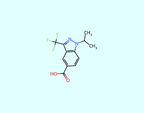 CC(C)n1nc(C(F)(F)F)c2cc(C(=O)O)ccc21